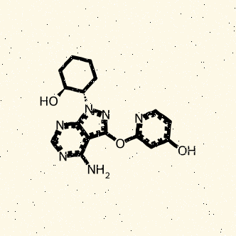 Nc1ncnc2c1c(Oc1cc(O)ccn1)nn2[C@H]1CCCC[C@@H]1O